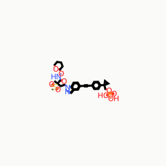 CC(CCn1ncc2cc(C#Cc3ccc(C4(COP(=O)(O)O)CC4)cc3)ccc21)(C(=O)NO[C@@H]1CCCCO1)S(C)(=O)=O